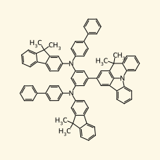 CC1(C)c2ccccc2-c2ccc(N(c3ccc(-c4ccccc4)cc3)c3cc(-c4cc5c6c(c4)c4ccccc4n6-c4ccccc4C5(C)C)cc(N(c4ccc(-c5ccccc5)cc4)c4ccc5c(c4)C(C)(C)c4ccccc4-5)c3)cc21